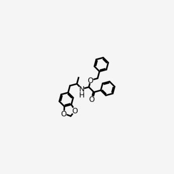 CC(Cc1ccc2c(c1)OCO2)NC(OCc1ccccc1)C(=O)c1ccccc1